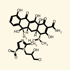 CN(C)[C@@H]1C(O)=C(C(N)=O)C(=O)[C@@]2(O)C(O)=C3C(=O)c4c(O)cccc4[C@@](C)(O)[C@H]3C[C@@H]12.Cc1ncc([N+](=O)[O-])n1CC(O)CCl